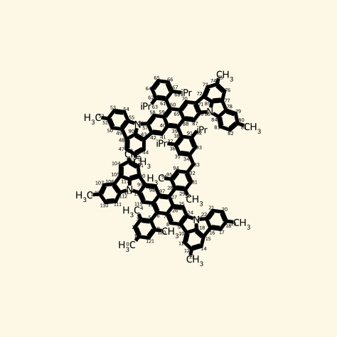 Cc1cc(C)c(-c2c3cc4c5cc(C)cc6c7cc(C)ccc7n(c4cc3c(-c3c(C)cc(Cc4cc(C(C)C)c(-c7c8cc9c%10cc(C)cc%11c%12cc(C)ccc%12n(c9cc8c(-c8c(C(C)C)cccc8C(C)C)c8cc9c%12cc(C)cc%13c%14cc(C)ccc%14n(c9cc78)c%13%12)c%11%10)c(C(C)C)c4)cc3C)c3cc4c7cc(C)cc8c9cc(C)ccc9n(c4cc23)c87)c65)c(C)c1